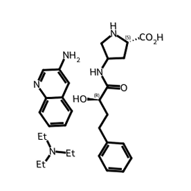 CCN(CC)CC.Nc1cnc2ccccc2c1.O=C(NC1CN[C@H](C(=O)O)C1)[C@H](O)CCc1ccccc1